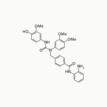 COc1cc(NC(=O)N(Cc2ccc(C(=O)Nc3ccccc3N)cc2)c2ccc(OC)c(OC)c2)ccc1O